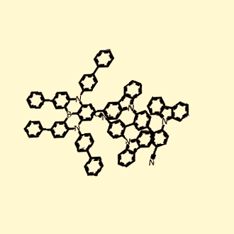 [C-]#[N+]c1ccc(-n2c3ccccc3c3ccccc32)c(-c2cc(-c3cc(C#N)ccc3-n3c4ccccc4c4ccccc43)ccc2-n2c3ccccc3c3cc(-c4cc5c6c(c4)N(c4ccc(-c7ccccc7)cc4)c4ccc(-c7ccccc7)cc4B6c4cc(-c6ccccc6)ccc4N5c4ccc(-c5ccccc5)cc4)ccc32)c1